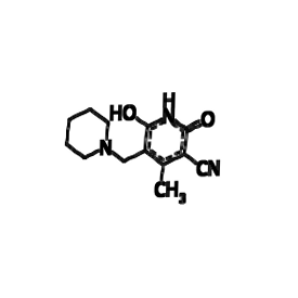 Cc1c(CN2CCCCC2)c(O)[nH]c(=O)c1C#N